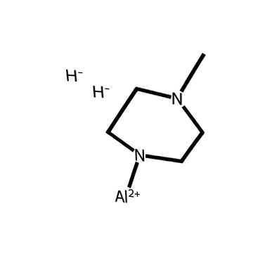 CN1CC[N]([Al+2])CC1.[H-].[H-]